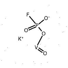 [K+].[O]=[V][O]P(=O)([O-])F